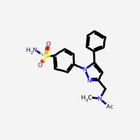 CC(=O)N(C)Cc1cc(-c2ccccc2)n(-c2ccc(S(N)(=O)=O)cc2)n1